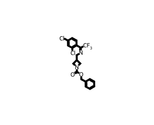 O=C(OCc1ccccc1)N1CC(CN=C(c2ccc(Cl)cc2Cl)C(F)(F)F)C1